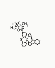 CC1(C)OB(c2ccc3c(c2)Sc2ccccc2C32c3ccccc3-n3c4ccccc4c4cccc2c43)OC1(C)C